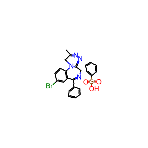 CC1=NN=C2CN=C(c3ccccc3)c3cc(Br)ccc3N2C1.O=S(=O)(O)c1ccccc1